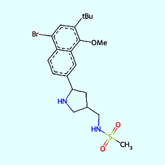 COc1c(C(C)(C)C)cc(Br)c2ccc(C3CC(CNS(C)(=O)=O)CN3)cc12